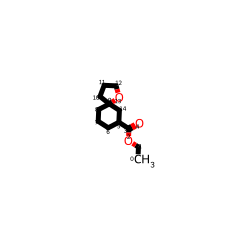 CCOC(=O)C1CCCC2(CCCO2)C1